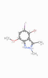 COc1cc(I)c(Br)c2c(C)n(C)nc12